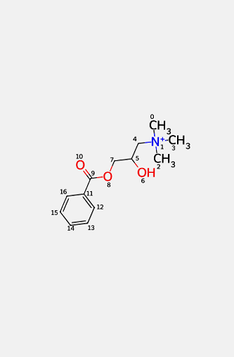 C[N+](C)(C)CC(O)COC(=O)c1ccccc1